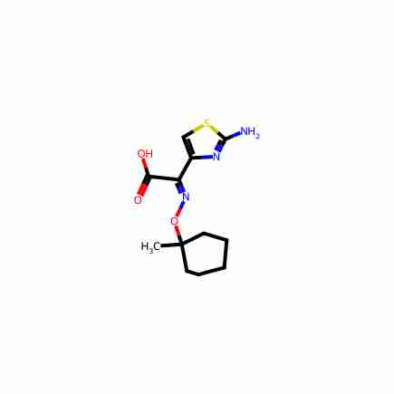 CC1(ON=C(C(=O)O)c2csc(N)n2)CCCCC1